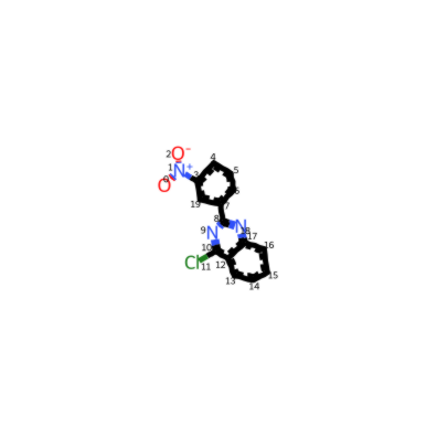 O=[N+]([O-])c1cccc(-c2nc(Cl)c3ccccc3n2)c1